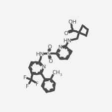 Cc1ccccc1-c1nc(NS(=O)(=O)c2cccc(NCC3(C(=O)O)CCC3)n2)ccc1C(F)(F)F